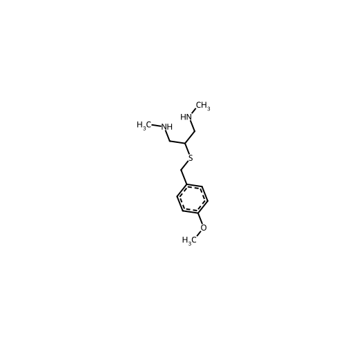 CNCC(CNC)SCc1ccc(OC)cc1